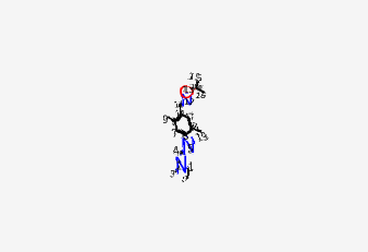 CCN(C)C=Nc1cc(C)c(C=NOC(C)C)cc1C